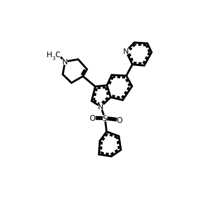 CN1CC=C(c2cn(S(=O)(=O)c3ccccc3)c3ccc(-c4ccccn4)cc23)CC1